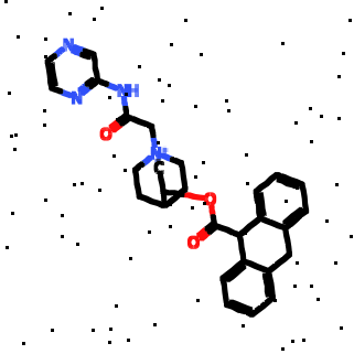 O=C(C[N+]12CCC(CC1)C(OC(=O)C1c3ccccc3Cc3ccccc31)C2)Nc1cnccn1